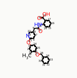 Cc1cc(Oc2ccc(CC(=O)Nc3ccccc3C(=O)O)cn2)ccc1OCc1ccccc1